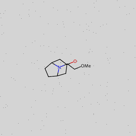 COCCN1C2CCC1CC([O])C2